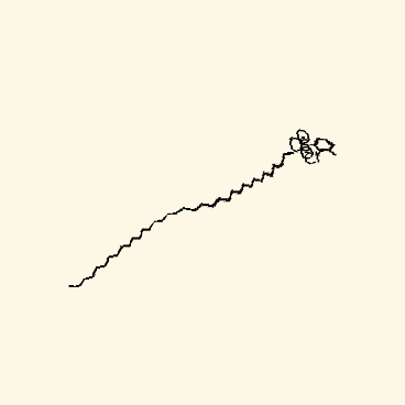 CCCCCCCCCCCCCCCCCCCCCCCCCCCCCCCCCCCCOS(=O)(=O)c1cccc(C)c1Cl